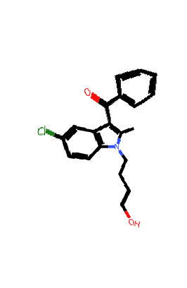 Cc1c(C(=O)c2ccccc2)c2cc(Cl)ccc2n1CCCCO